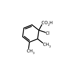 CC1=CC=CC(Cl)(C(=O)O)C1C